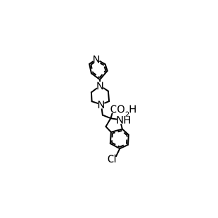 O=C(O)C1(CN2CCN(c3ccncc3)CC2)Cc2cc(Cl)ccc2N1